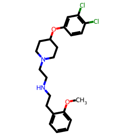 COc1ccccc1CCNCCN1CCC(Oc2ccc(Cl)c(Cl)c2)CC1